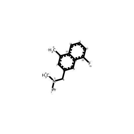 [CH2]c1cc(CN(C)C(C)C)cc2c(F)cccc12